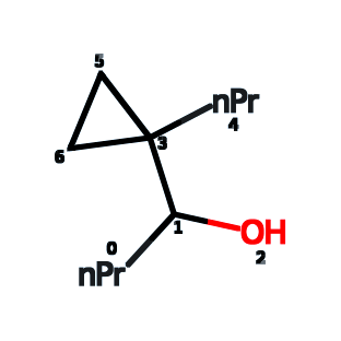 CCCC(O)C1(CCC)CC1